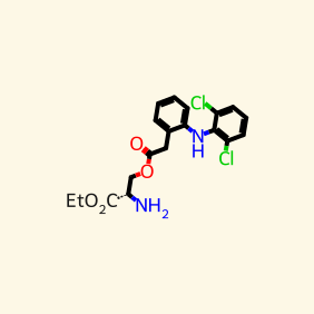 CCOC(=O)[C@@H](N)COC(=O)Cc1ccccc1Nc1c(Cl)cccc1Cl